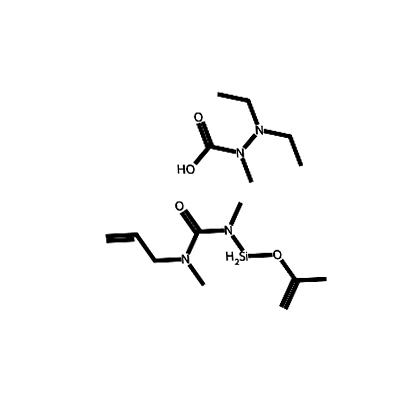 C=CCN(C)C(=O)N(C)[SiH2]OC(=C)C.CCN(CC)N(C)C(=O)O